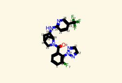 O=C(c1cccc(F)c1-n1nccn1)N1CC2CC(Nc3ccc(C(F)(F)F)cn3)C1C2